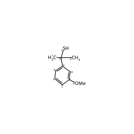 COc1cccc(C(C)(C)S)c1